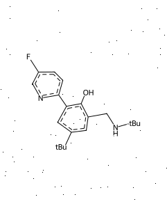 CC(C)(C)NCc1cc(C(C)(C)C)cc(-c2ccc(F)cn2)c1O